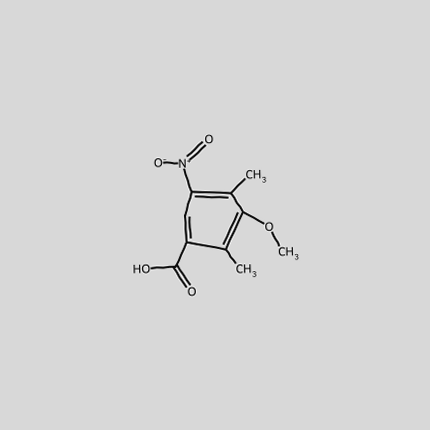 COc1c(C)c(C(=O)O)cc([N+](=O)[O-])c1C